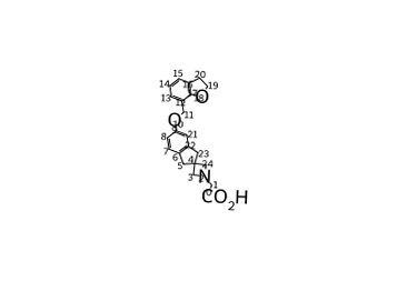 O=C(O)CN1CC2(Cc3ccc(OCc4cccc5c4OCC5)cc3C2)C1